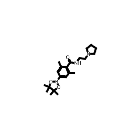 Cc1cc(B2OC(C)(C)C(C)(C)O2)cc(C)c1C(=O)NCCN1CCCC1